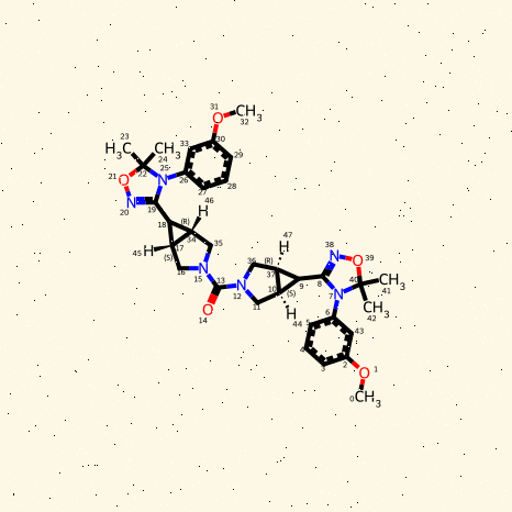 COc1cccc(N2C(C3[C@H]4CN(C(=O)N5C[C@@H]6C(C7=NOC(C)(C)N7c7cccc(OC)c7)[C@@H]6C5)C[C@@H]34)=NOC2(C)C)c1